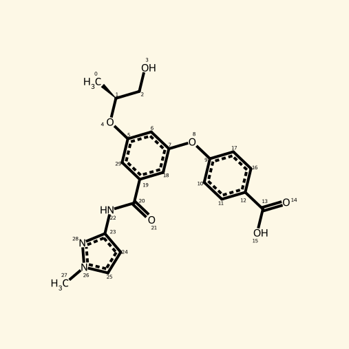 C[C@@H](CO)Oc1cc(Oc2ccc(C(=O)O)cc2)cc(C(=O)Nc2ccn(C)n2)c1